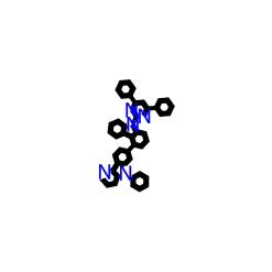 c1ccc(-c2cc(-c3ccccc3)nc(-n3c4ccccc4c4c(-c5ccc6c7ncccc7n(-c7ccccc7)c6c5)cccc43)n2)cc1